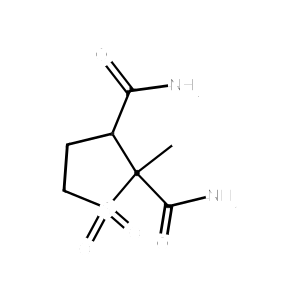 CC1(C(N)=O)[C](C(N)=O)CCS1(=O)=O